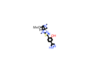 COC1C2CC[C@](C)(CN2C)[C@H]1N(C)c1nnc(-c2ccc(-c3cn[nH]c3)cc2O)s1